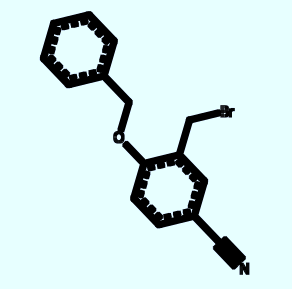 N#Cc1ccc(OCc2ccccc2)c(CBr)c1